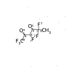 CC(F)(F)C(=O)C(F)C(=O)C(F)(F)F